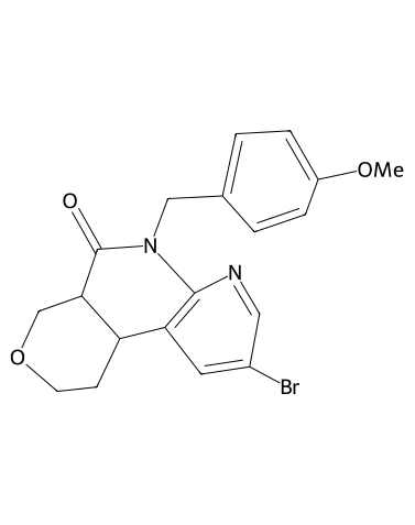 COc1ccc(CN2C(=O)C3COCCC3c3cc(Br)cnc32)cc1